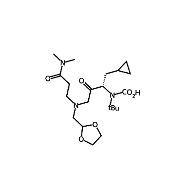 CN(C)C(=O)CCN(CC(=O)[C@H](CC1CC1)N(C(=O)O)C(C)(C)C)CC1OCCO1